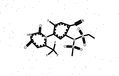 CCS(=O)(=O)N(c1cc(-n2c(C(F)(F)F)cc(=O)[nH]c2=O)c(F)cc1C#N)S(C)(=O)=O